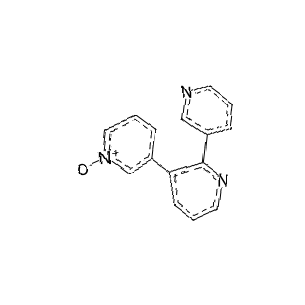 [O-][n+]1cccc(-c2cccnc2-c2cccnc2)c1